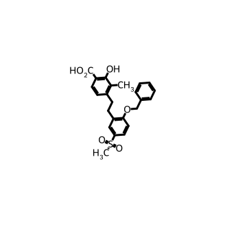 Cc1c(CCc2cc(S(C)(=O)=O)ccc2OCc2ccccc2)ccc(C(=O)O)c1O